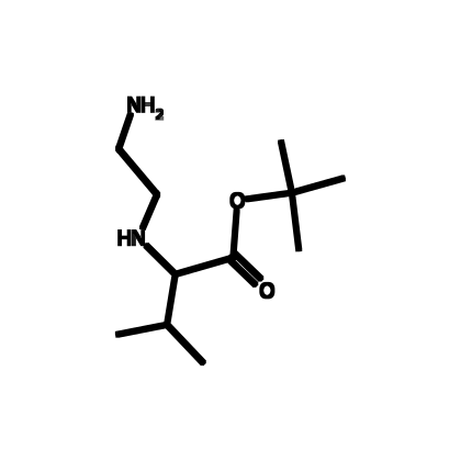 CC(C)C(NCCN)C(=O)OC(C)(C)C